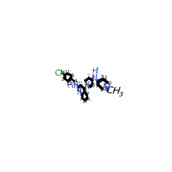 CN1CCC(NC2CCN(c3cc(NCc4ccc(Cl)cc4)nc4ccccc34)CC2)CC1